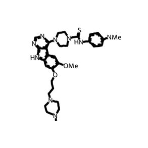 CNc1ccc(NC(=S)N2CCN(c3ncnc4[nH]c5cc(OCCCN6CCN(C)CC6)c(OC)cc5c34)CC2)cc1